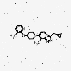 Cc1cccnc1OC1CCN(c2ccn3c(CC4CC4)nnc3c2C(F)(F)F)CC1